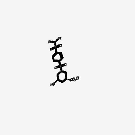 CCOC(=O)[C@@H]1C[C@@H](O)CN(S(=O)(=O)c2ccc(S(=O)(=O)N(CC)CC)cc2)C1